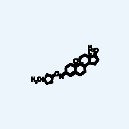 CN1CCC(ON=C2C=C3CCC4C(CC[C@]5(C)C(=O)CCC45)[C@@]3(C)CC2)C1